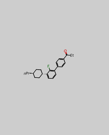 CCC[C@H]1CC[C@H](c2cccc(-c3ccc(C(=O)CC)cc3)c2F)CC1